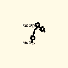 COCOc1cccc(-c2ccc(C)cc2)c1/C=C/C#Cc1ccc(C(=O)OC)cc1